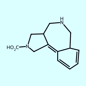 O=C(O)N1CC2=C3C=CC=CC3CNCC2C1